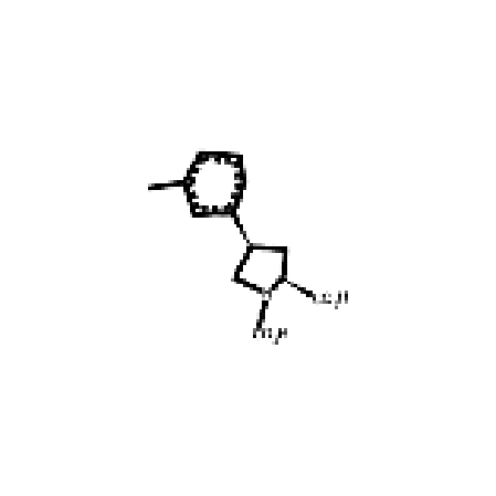 Cc1cccc([C@H]2C[C@@H](C(=O)O)N(C(=O)O)C2)c1